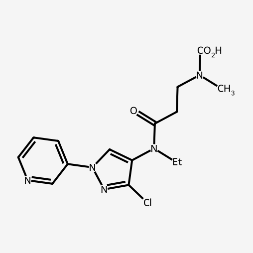 CCN(C(=O)CCN(C)C(=O)O)c1cn(-c2cccnc2)nc1Cl